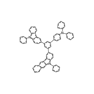 c1ccc(N(c2ccccc2)c2ccc(-c3cc(-c4ccc5c(c4)c4ccccc4n5-c4ccccc4)cc(-c4ccc5c(c4)c4cc6ccccc6cc4n5-c4ccccc4)c3)cc2)cc1